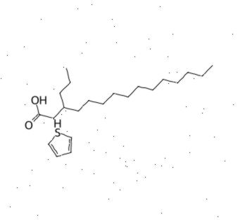 CCCCCCCCCCCCC(CCC)C(C(=O)O)[SH]1C=CC=C1